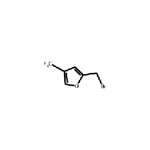 FC(F)(F)c1coc(CBr)c1